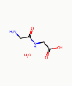 NCC(=O)NCC(=O)O.O